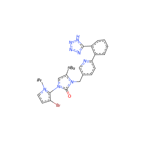 CCCCc1cn(-c2c(Br)ccn2C(C)C)c(=O)n1Cc1ccc(-c2ccccc2-c2nnn[nH]2)nc1